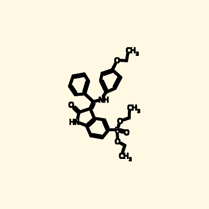 CCOc1ccc(NC(=C2C(=O)Nc3ccc(P(=O)(OCC)OCC)cc32)c2ccccc2)cc1